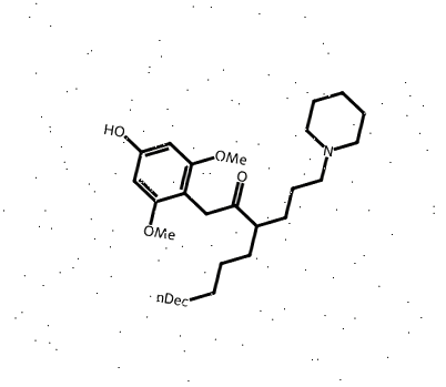 CCCCCCCCCCCCCC(CCCN1CCCCC1)C(=O)Cc1c(OC)cc(O)cc1OC